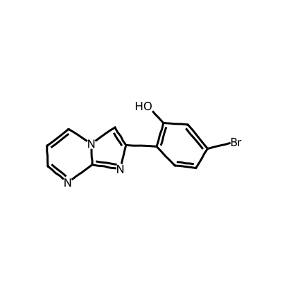 Oc1cc(Br)ccc1-c1cn2cccnc2n1